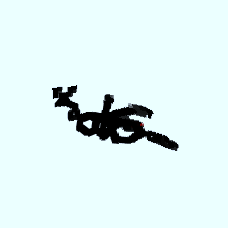 COC1CCC2(CC1)Cc1ccc(OCC3CC3(F)F)cc1C21NC(=S)N(C(C)C)C1=O